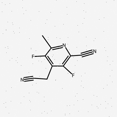 Cc1nc(C#N)c(F)c(CC#N)c1F